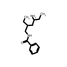 CCC(N)CC(CC)CNC(=O)c1ccccc1